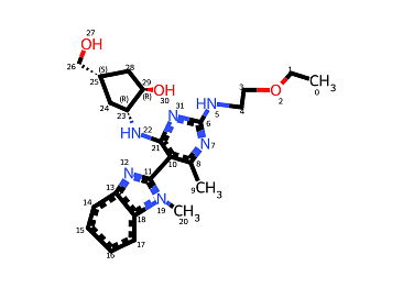 CCOCCNc1nc(C)c(-c2nc3ccccc3n2C)c(N[C@@H]2C[C@H](CO)C[C@H]2O)n1